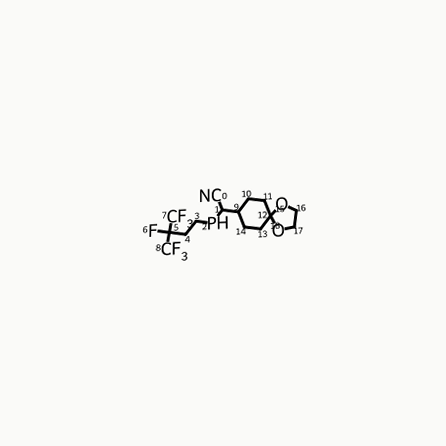 N#CC(PCCC(F)(C(F)(F)F)C(F)(F)F)C1CCC2(CC1)OCCO2